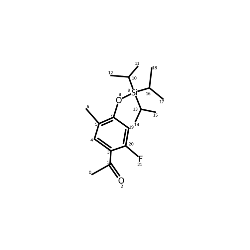 CC(=O)c1cc(C)c(O[Si](C(C)C)(C(C)C)C(C)C)cc1F